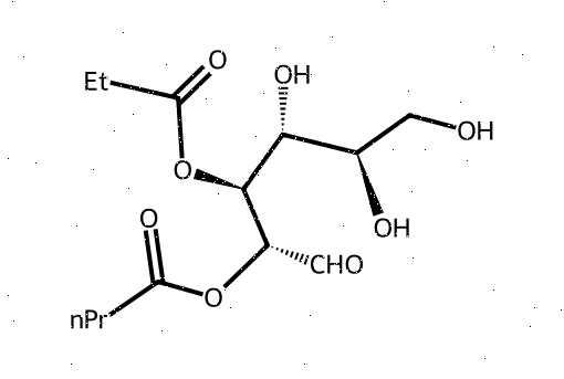 CCCC(=O)O[C@@H](C=O)[C@@H](OC(=O)CC)[C@H](O)[C@H](O)CO